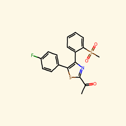 CC(=O)c1nc(-c2ccccc2S(C)(=O)=O)c(-c2ccc(F)cc2)s1